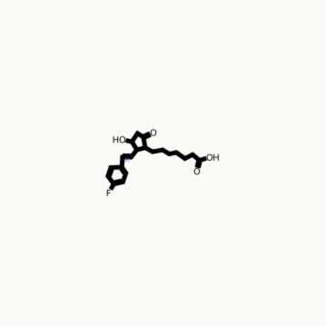 O=C(O)CCCCCCC1C(=O)CC(O)C1/C=C/c1ccc(F)cc1